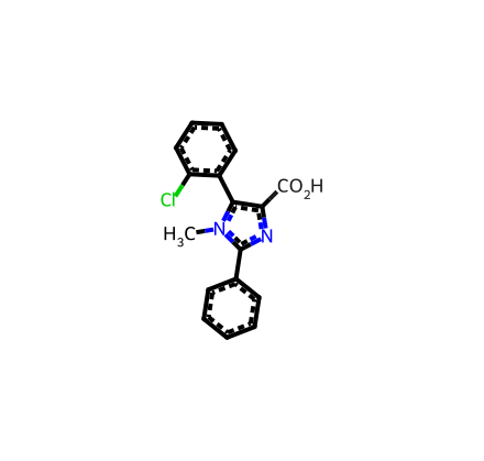 Cn1c(-c2ccccc2)nc(C(=O)O)c1-c1ccccc1Cl